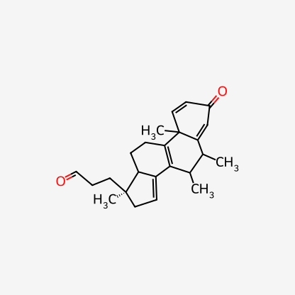 CC1C2=CC(=O)C=CC2(C)C2=C(C3=CC[C@@](C)(CCC=O)C3CC2)C1C